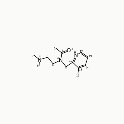 CC(=O)N(CCN(C)C)Cc1ncccc1C